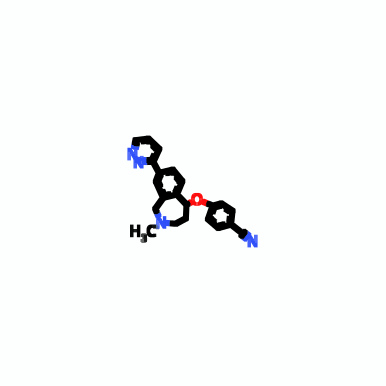 CN1CCC(Oc2ccc(C#N)cc2)c2ccc(-c3cccnn3)cc2C1